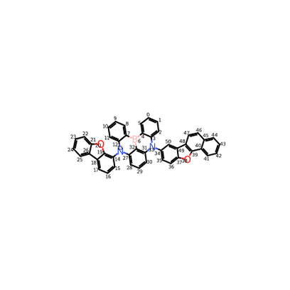 c1ccc2c(c1)B1c3ccccc3N(c3cccc4c3oc3ccccc34)c3cccc(c31)N2c1ccc2oc3c4ccccc4ccc3c2c1